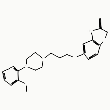 CCOc1ccccc1N1CCN(CCCOc2ccc3c(c2)NC(=O)CC3)CC1